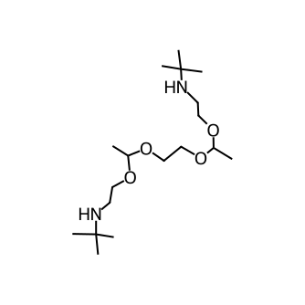 CC(OCCNC(C)(C)C)OCCOC(C)OCCNC(C)(C)C